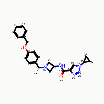 C[C@H](c1ccc(OCc2ccccc2)cc1)N1CC(NC(=O)c2cn(C3CC3)nn2)C1